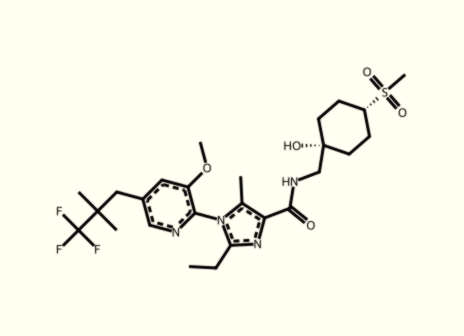 CCc1nc(C(=O)NC[C@]2(O)CC[C@@H](S(C)(=O)=O)CC2)c(C)n1-c1ncc(CC(C)(C)C(F)(F)F)cc1OC